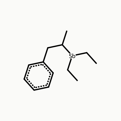 C[CH2][Sb]([CH2]C)[CH](C)Cc1ccccc1